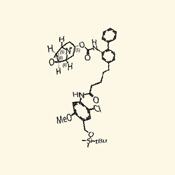 COc1cc(NC(=O)CCCCc2ccc(-c3ccccc3)c(NC(=O)O[C@@H]3C[C@@H]4[C@H]5O[C@H]5[C@H](C3)N4C)c2)c(Cl)cc1CO[Si](C)(C)C(C)(C)C